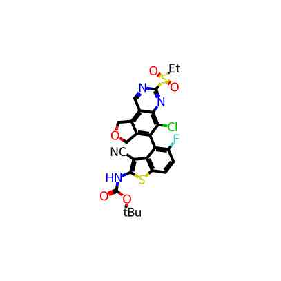 CCS(=O)(=O)c1ncc2c3c(c(-c4c(F)ccc5sc(NC(=O)OC(C)(C)C)c(C#N)c45)c(Cl)c2n1)COC3